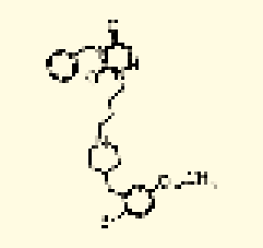 CCOc1ccc(Br)c(CC2CCN(CCCCn3ncc(=O)n(Cc4ccccc4)c3=O)CC2)c1